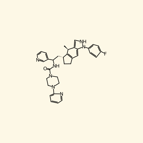 C[C@H]1C2=CNN(c3ccc(F)cc3)C2=CC2=C1[C@@H](CC(NC(=O)N1CCN(c3ccccn3)CC1)c1cccnc1)CC2